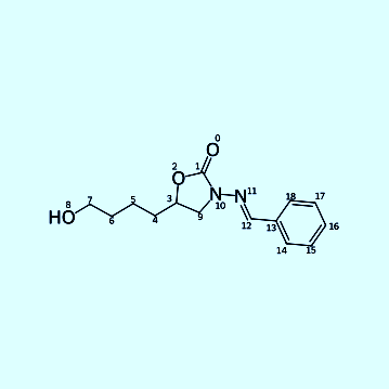 O=C1OC(CCCCO)CN1N=Cc1ccccc1